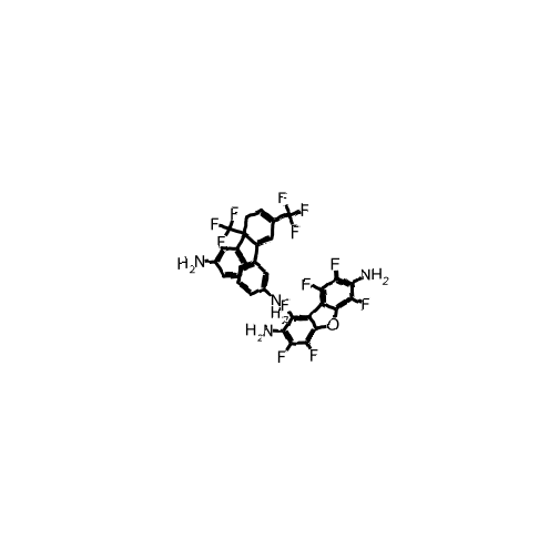 Nc1c(F)c(F)c2c(oc3c(F)c(F)c(N)c(F)c32)c1F.Nc1cccc(C2=CC(C(F)(F)F)=CCC2(c2cccc(N)c2)C(F)(F)F)c1